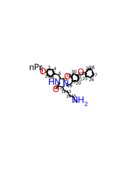 CCCOc1ccc(CC2NC(=O)C(CCCCN)N(Cc3ccc(Oc4ccccc4)cc3)C2=O)cc1